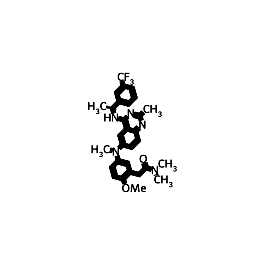 COc1ccc(N(C)c2ccc3nc(C)nc(N[C@@H](C)c4cccc(C(F)(F)F)c4)c3c2)cc1CC(=O)N(C)C